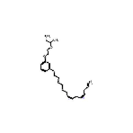 C=CC/C=C\C/C=C\CCCCCCCc1cccc(OCCOC(C)CC)c1